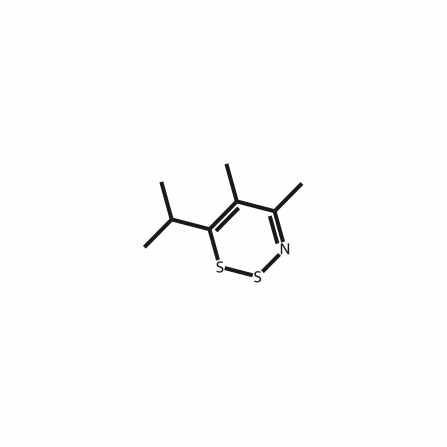 CC1=NSSC(C(C)C)=C1C